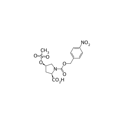 CS(=O)(=O)O[C@@H]1C[C@H](C(=O)O)N(C(=O)OCc2ccc([N+](=O)[O-])cc2)C1